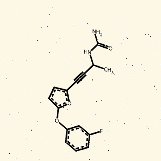 CC(C#Cc1ccc(Oc2cccc(F)c2)o1)NC(N)=O